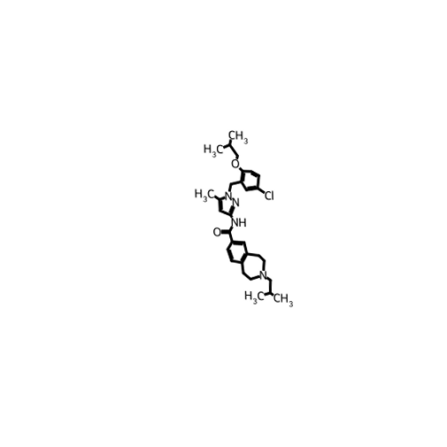 Cc1cc(NC(=O)c2ccc3c(c2)CCN(CC(C)C)CC3)nn1Cc1cc(Cl)ccc1OCC(C)C